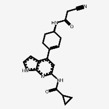 N#CCC(=O)NC1CC=C(c2cc(NC(=O)C3CC3)nc3[nH]ccc23)CC1